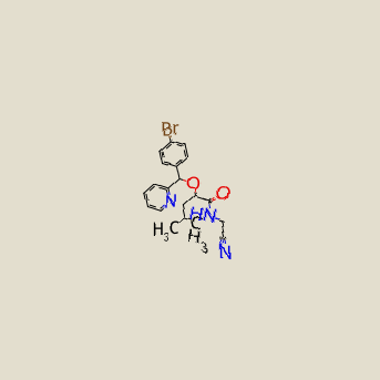 CC(C)CC(OC(c1ccc(Br)cc1)c1ccccn1)C(=O)NCC#N